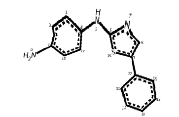 Nc1ccc(Nc2ncc(-c3ccccc3)s2)cc1